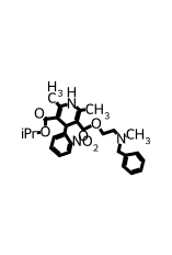 CC1=C(C(=O)OCCN(C)Cc2ccccc2)C(c2ccccc2[N+](=O)[O-])C(C(=O)OC(C)C)=C(C)N1